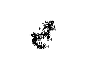 CCCC(=O)OCN(C(=O)[C@@H](NC(=O)[C@H]1CCCCN1C)C(C)CC)[C@H](C[C@@H](O)c1nc(C(=O)N[C@@H](Cc2ccc(O)cc2)C[C@H](C)C(=O)NNC(=O)OCCSSC[C@H](NC(=O)[C@H](Cc2ccccc2)NC(=O)[C@H](CC(=O)O)NC(=O)CC[C@H](NC(=O)CC[C@@H](NC(=S)N[C@H](CCC(=O)O)C(=O)O)C(=O)O)C(=O)O)C(=O)O)cs1)C(C)C